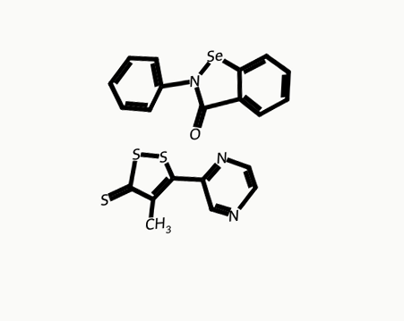 Cc1c(-c2cnccn2)ssc1=S.O=c1c2ccccc2[se]n1-c1ccccc1